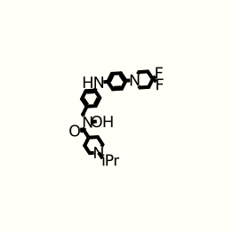 CC(C)N1CCC(C(=O)N(O)Cc2ccc(Nc3ccc(N4CCC(F)(F)CC4)cc3)cc2)CC1